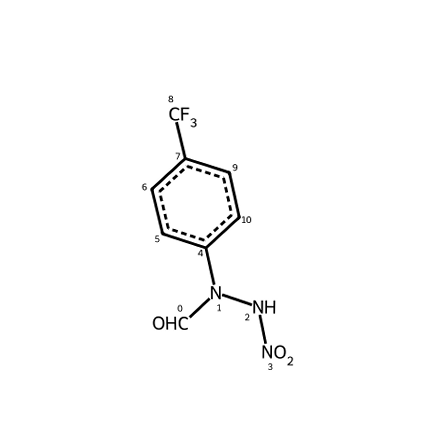 O=CN(N[N+](=O)[O-])c1ccc(C(F)(F)F)cc1